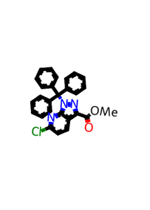 COC(=O)c1nn(C(c2ccccc2)(c2ccccc2)c2ccccc2)c2nc(Cl)ccc12